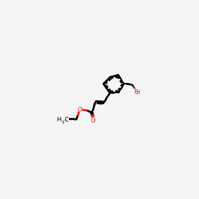 CCOC(=O)C=Cc1cccc(CBr)c1